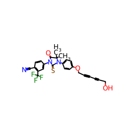 CC1(C)C(=O)N(c2ccc(C#N)c(C(F)(F)F)c2)C(=S)N1c1ccc(OCC#CC#CCO)cc1